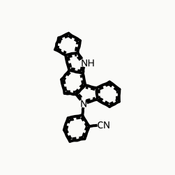 N#Cc1ccccc1-n1c2ccccc2c2c3[nH]c4ccccc4c3ccc21